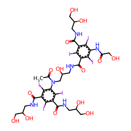 CC(=O)N(CC(O)CNC(=O)c1c(I)c(NC(=O)CO)c(I)c(C(=O)NCC(O)CO)c1I)c1c(I)c(C(=O)NCC(O)CO)c(I)c(C(=O)NCC(O)CO)c1I